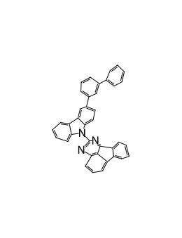 c1ccc(-c2cccc(-c3ccc4c(c3)c3ccccc3n4-c3nc4c5c(cccc5n3)-c3ccccc3-4)c2)cc1